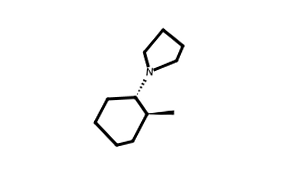 C[C@H]1CCCC[C@@H]1N1CCCC1